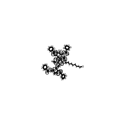 C=CCCCCCCCCOC1OC(COC2OC(COC(=O)c3ccccc3)C(C)C(OC(=O)c3ccccc3)C2C)C(OC(C)=O)C(OC2OC(COC(=O)c3ccccc3)C(C)C(OC(=O)c3ccccc3)C2C)C1OC(C)=O